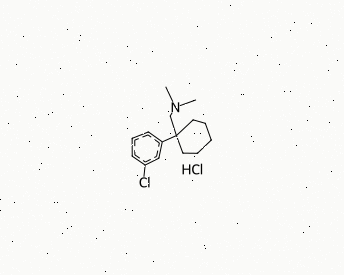 CN(C)CC1(c2cccc(Cl)c2)CCCCC1.Cl